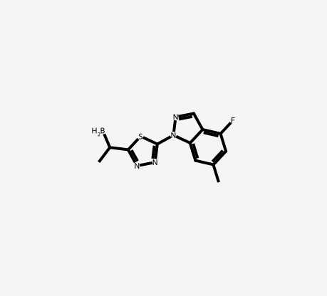 BC(C)c1nnc(-n2ncc3c(F)cc(C)cc32)s1